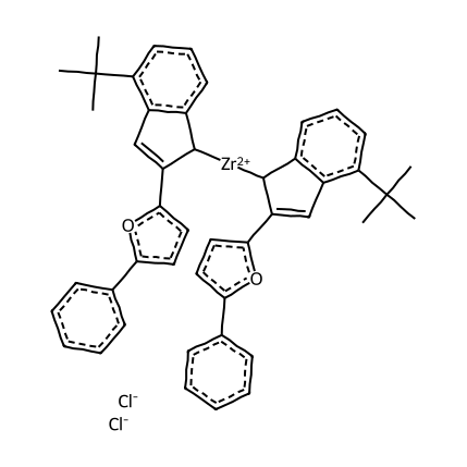 CC(C)(C)c1cccc2c1C=C(c1ccc(-c3ccccc3)o1)[CH]2[Zr+2][CH]1C(c2ccc(-c3ccccc3)o2)=Cc2c1cccc2C(C)(C)C.[Cl-].[Cl-]